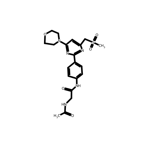 CC(=O)NCC(=O)Nc1ccc(-c2nc(CS(C)(=O)=O)cc(N3CCOCC3)n2)cc1